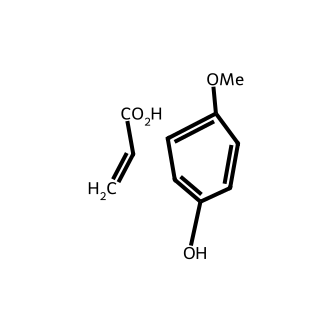 C=CC(=O)O.COc1ccc(O)cc1